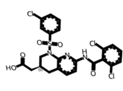 O=C(O)C[C@@H]1Cc2ccc(NC(=O)c3c(Cl)cccc3Cl)nc2N(S(=O)(=O)c2cccc(Cl)c2)C1